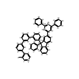 Cc1cnccc1-c1cccc(-c2cccc(-c3cccc(C4(c5ccccc5)c5ccccc5-c5ccc(-c6cc(-c7ccccc7)nc(-c7ccccc7)n6)cc54)c3)c2)c1